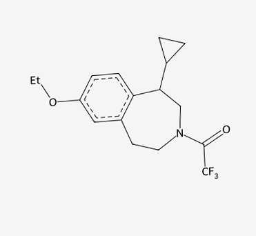 CCOc1ccc2c(c1)CCN(C(=O)C(F)(F)F)CC2C1CC1